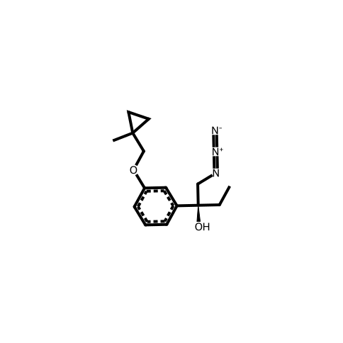 CC[C@@](O)(CN=[N+]=[N-])c1cccc(OCC2(C)CC2)c1